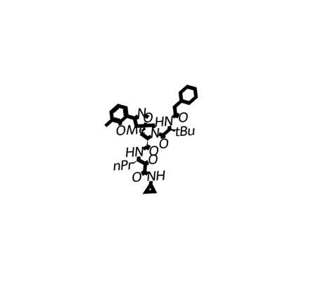 CCC[C@H](NC(=O)[C@@H]1C[C@]2(CC(c3cccc(C)c3OC)=NO2)CN1C(=O)[C@@H](NC(=O)CC1CCCCC1)C(C)(C)C)C(=O)C(=O)NC1CC1